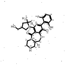 CC1(C)CC(CO)CN1c1nc(-c2c(O)cccc2F)c(Cl)c2c1C(=O)N1CCNC[C@@H]1CO2